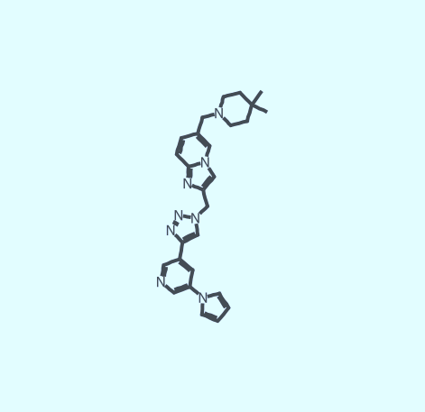 CC1(C)CCN(Cc2ccc3nc(Cn4cc(-c5cncc(-n6cccc6)c5)nn4)cn3c2)CC1